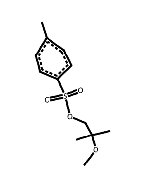 COC(C)(C)COS(=O)(=O)c1ccc(C)cc1